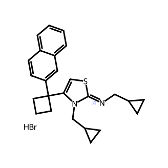 Br.c1ccc2cc(C3(c4cs/c(=N\CC5CC5)n4CC4CC4)CCC3)ccc2c1